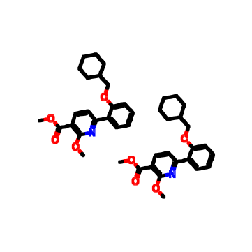 COC(=O)c1ccc(-c2ccccc2OCC2CCCCC2)nc1OC.COC(=O)c1ccc(-c2ccccc2OCC2CCCCC2)nc1OC